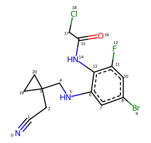 N#CCC1(CNc2cc(Br)cc(F)c2NC(=O)CCl)CC1